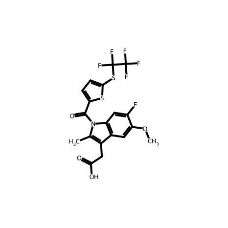 COc1cc2c(CC(=O)O)c(C)n(C(=O)c3ccc(SC(F)(F)C(F)(F)F)s3)c2cc1F